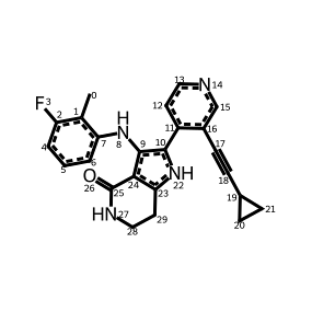 Cc1c(F)cccc1Nc1c(-c2ccncc2C#CC2CC2)[nH]c2c1C(=O)NCC2